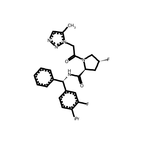 Cc1cnnn1CC(=O)N1C[C@H](F)C[C@H]1C(=O)N[C@@H](c1ccccc1)c1ccc(C(C)C)c(F)c1